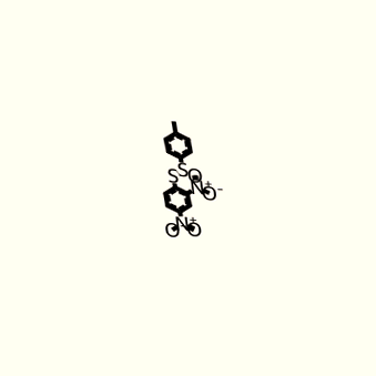 Cc1ccc(SSc2ccc([N+](=O)[O-])cc2[N+](=O)[O-])cc1